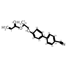 C=CC(=O)O[C@@H](C)COc1ccc(-c2ccc(C#N)cc2)cc1